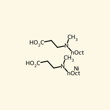 CCCCCCCCN(C)CCC(=O)O.CCCCCCCCN(C)CCC(=O)O.[Ni]